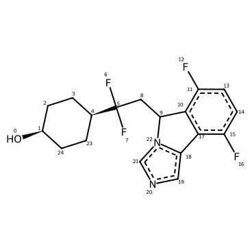 O[C@H]1CC[C@@H](C(F)(F)CC2c3c(F)ccc(F)c3-c3cncn32)CC1